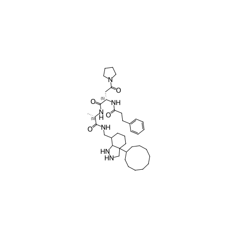 C[C@H](NC(=O)[C@H](CC(=O)N1CCCC1)NC(=O)CCc1ccccc1)C(=O)NCC1CCCC2(C3CCCCCCCCC3)CNNC12